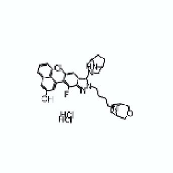 Cl.Cl.Oc1cc(-c2c(Cl)cc3c(N4CC5CCC(C4)N5)n(CCCCN4C5CCC4COC5)nc3c2F)c2ccccc2c1